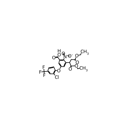 CCOC(=O)CC(C(=O)OCC)c1cc(Oc2ccc(C(F)(F)F)cc2Cl)cc(C(=O)O)c1[N+](=O)[O-]